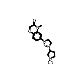 CN1C(=O)COc2ccc(N3CCN(C4CCN(C#N)C4)S3)cc21